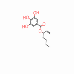 C=CC(CCCC)OC(=O)c1cc(O)c(O)c(O)c1